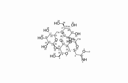 COC(=N)CS[C@@H]1O[C@@H](CO)[C@@H](O[C@@H]2OC(C)[C@@H](O)C(O)[C@@H]2O)C(O[C@@H]2O[C@@H](CO)[C@H](O)C(O)C2O)C1NC(C)=O